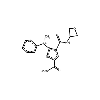 CNC(=O)c1cc(C(=O)NC2COC2)n([C@@H](C)c2ccccc2)n1